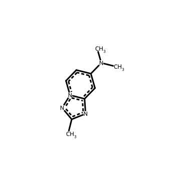 Cc1nc2cc(N(C)C)ccn2n1